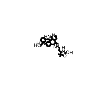 CC(C)(C)C(CCn1cc(-c2ccnc3[nH]c(-c4cccc(CO)c4)cc23)c(-c2ccc(N)cc2)n1)NC(=O)O